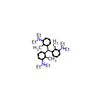 CCN(CC)c1cccc(C(c2cccc(N(CC)CC)c2C)c2cccc(N(CC)CC)c2C)c1C